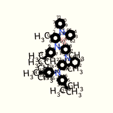 Cc1cc2c3c(c1)N(c1ccc(C(C)(C)C)cc1)c1cc(N4c5ccc(N(c6ccc(C(C)(C)C)cc6)c6ccc(C(C)(C)C)cc6)cc5C5(C)CCCCC45C)ccc1B3c1ccccc1N2c1ccccc1